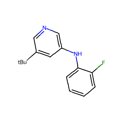 CC(C)(C)c1cncc(Nc2ccccc2F)c1